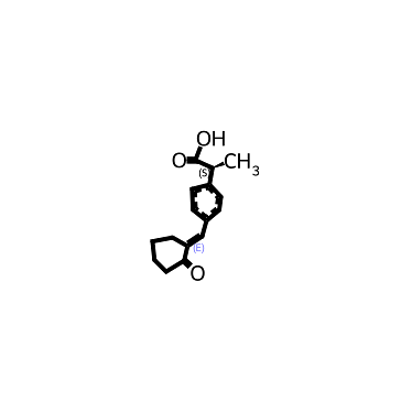 C[C@H](C(=O)O)c1ccc(/C=C2\CCCCC2=O)cc1